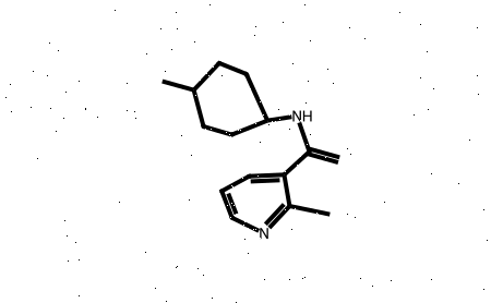 C=C(NC1CCC(C)CC1)c1cccnc1C